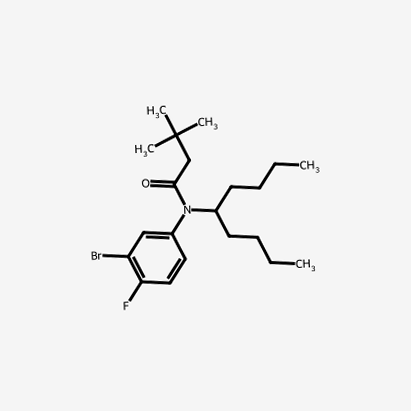 CCCCC(CCCC)N(C(=O)CC(C)(C)C)c1ccc(F)c(Br)c1